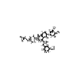 CN(C)CCN1CCN(c2nc(NCc3cncc(Cl)c3)c3cc(-c4ccc(=O)n(C)c4)ccc3n2)CC1